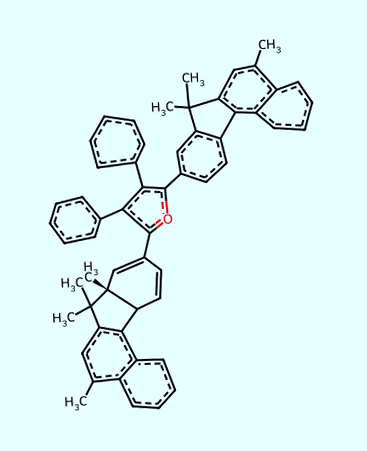 Cc1cc2c(c3ccccc13)-c1ccc(-c3oc(C4=C[C@]5(C)C(C=C4)c4c(cc(C)c6ccccc46)C5(C)C)c(-c4ccccc4)c3-c3ccccc3)cc1C2(C)C